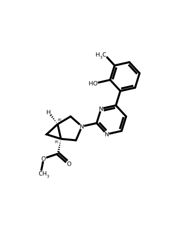 COC(=O)[C@]12C[C@H]1CN(c1nccc(-c3cccc(C)c3O)n1)C2